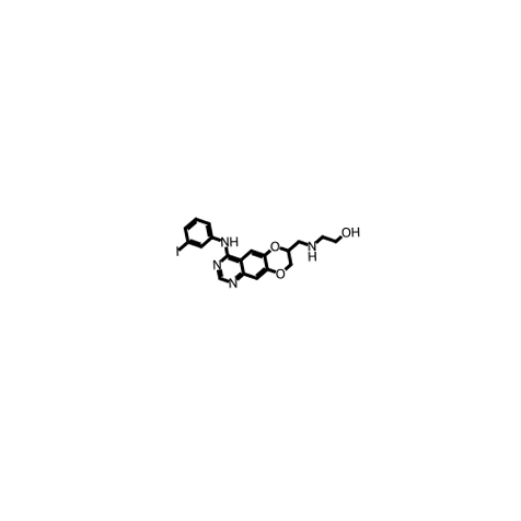 OCCNCC1COc2cc3ncnc(Nc4cccc(I)c4)c3cc2O1